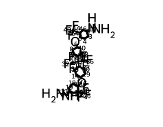 NNc1ccc(Oc2ccc(C(c3ccc(Oc4ccc(NN)cc4C(F)(F)F)cc3)(C(F)(F)F)C(F)(F)F)cc2)c(C(F)(F)F)c1